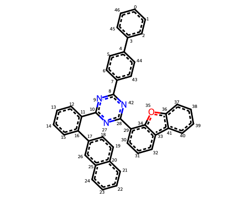 c1ccc(-c2ccc(-c3nc(-c4ccccc4-c4ccc5ccccc5c4)nc(-c4cccc5c4oc4ccccc45)n3)cc2)cc1